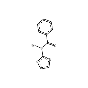 O=C(c1ccccc1)N(Br)c1nccs1